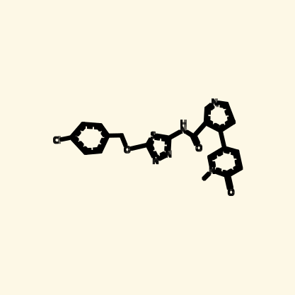 Cn1cc(-c2ccncc2C(=O)Nc2nnc(OCc3ccc(Cl)cc3)s2)ccc1=O